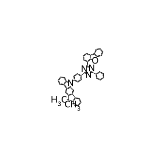 CC1(C)c2ccccc2-c2cc3c(cc21)c1ccccc1n3-c1ccc(-c2nc(-c3ccccc3)nc(-c3cccc4c3oc3ccccc34)n2)cc1